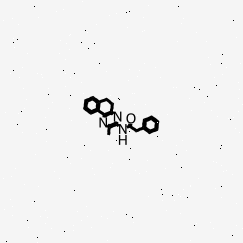 Cc1nc2c(nc1NC(=O)Cc1ccccc1)CCc1ccccc1-2